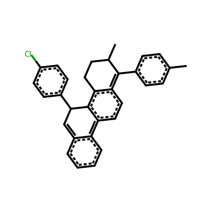 Cc1ccc(C2=c3ccc4c(c3CCC2C)C(c2ccc(Cl)cc2)C=c2ccccc2=4)cc1